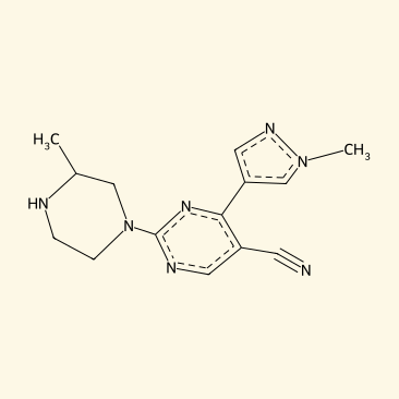 CC1CN(c2ncc(C#N)c(-c3cnn(C)c3)n2)CCN1